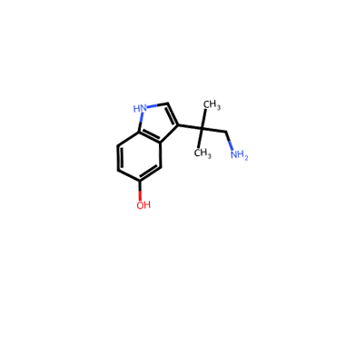 CC(C)(CN)c1c[nH]c2ccc(O)cc12